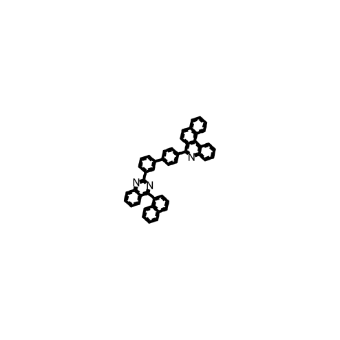 c1cc(-c2ccc(-c3nc4ccccc4c4c3ccc3ccccc34)cc2)cc(-c2nc(-c3cccc4ccccc34)c3ccccc3n2)c1